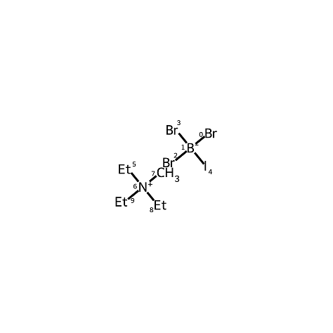 Br[B-](Br)(Br)I.CC[N+](C)(CC)CC